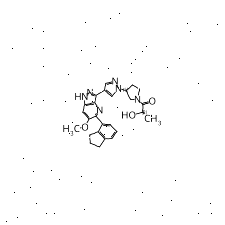 COc1cc2[nH]nc(-c3cnn([C@H]4CCN(C(=O)[C@@H](C)O)C4)c3)c2nc1-c1cccc2c1CCC2